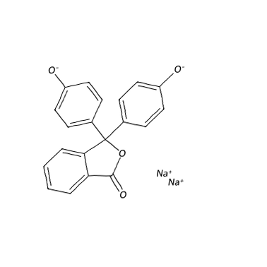 O=C1OC(c2ccc([O-])cc2)(c2ccc([O-])cc2)c2ccccc21.[Na+].[Na+]